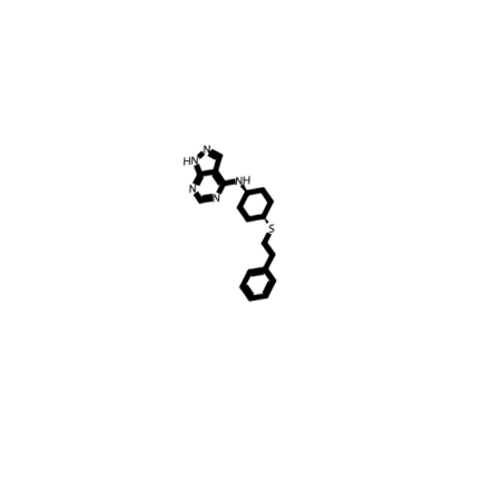 c1ccc(CCS[C@H]2CC[C@H](Nc3ncnc4[nH]ncc34)CC2)cc1